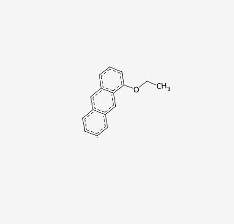 CCOc1cccc2cc3cc[c]cc3cc12